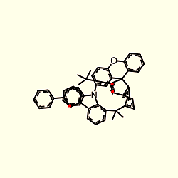 CC(C)(C)c1ccc2c(c1)C13c4ccccc4Oc4ccc(cc41)N(c1ccc(-c4ccccc4)cc1)c1c(-c4ccccc4)cccc1C(C)(C)c1ccc-2c3c1